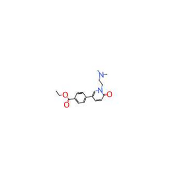 CCOC(=O)c1ccc(-c2ccc(=O)n(CCN(C)C)c2)cc1